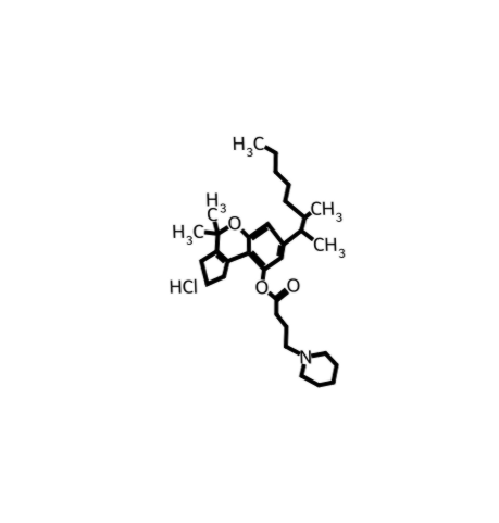 CCCCCC(C)C(C)c1cc(OC(=O)CCCN2CCCCC2)c2c(c1)OC(C)(C)C1=C2CCC1.Cl